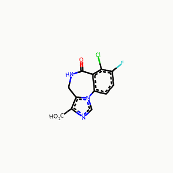 O=C(O)c1ncn2c1CNC(=O)c1c-2ccc(F)c1Cl